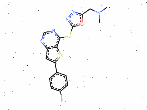 CN(C)Cc1nnc(Sc2ncnc3cc(-c4ccc(F)cc4)sc23)o1